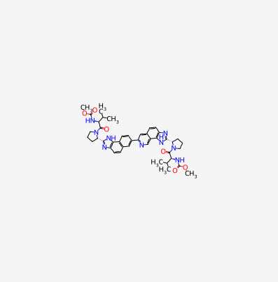 COC(=O)N[C@H](C(=O)N1CCC[C@H]1c1nc2ccc3cc(-c4cc5ccc6nc([C@@H]7CCCN7C(=O)[C@@H](NC(=O)OC)C(C)C)[nH]c6c5cn4)ccc3c2[nH]1)C(C)C